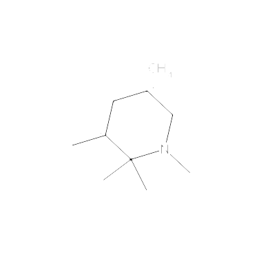 C.CC1CCCN(C)C1(C)C